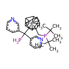 CC(C)(C)P(C[C]12[CH]3[CH]4[CH]5[C]1(C(P)(c1cccnc1)c1cccnc1)[Fe]43521678[CH]2[CH]1[CH]6[CH]7[CH]28)C(C)(C)C